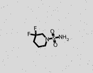 NS(=O)(=O)N1CCCC(F)(F)C1